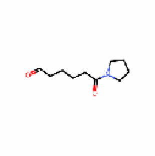 O=CCCCCC(=O)N1CCCC1